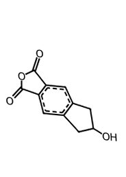 O=C1OC(=O)c2cc3c(cc21)CC(O)C3